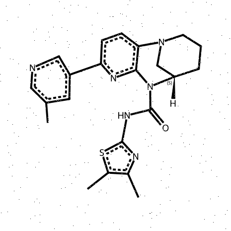 Cc1cncc(-c2ccc3c(n2)N(C(=O)Nc2nc(C)c(C)s2)[C@H]2CCCN3C2)c1